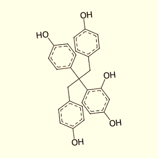 Oc1ccc(CC(Cc2ccc(O)cc2)(c2ccc(O)cc2)c2ccc(O)cc2O)cc1